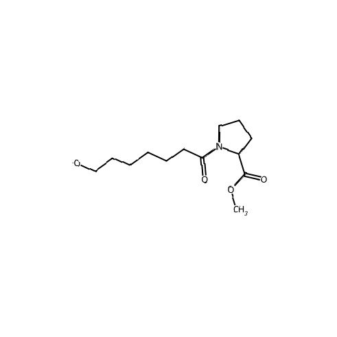 COC(=O)C1CCCN1C(=O)CCCCCC[O]